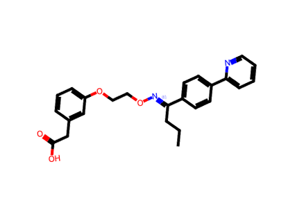 CCC/C(=N\OCCOc1cccc(CC(=O)O)c1)c1ccc(-c2ccccn2)cc1